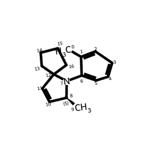 Cc1ccccc1N1[C@@H](C)C=CC12CCCC2